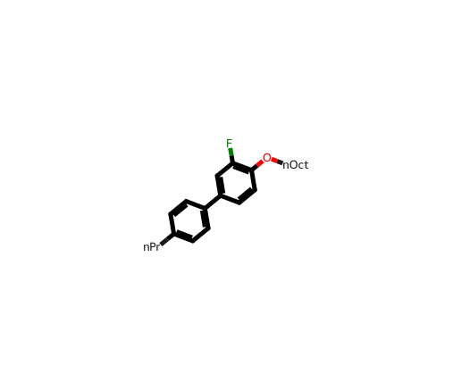 CCCCCCCCOc1ccc(-c2ccc(CCC)cc2)cc1F